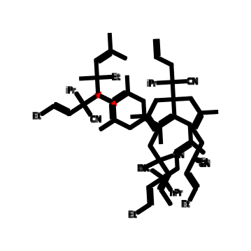 C=CCC(C#N)(C(C)C)C(CC(C)=CCC(C#N)(C=CC)CC)(CC(C)=CCC(C#N)(C=CCC)CC)C(CC(C)=CCC(C#N)(C=CCC)CCC)=C(C)C(CC(C)=CCC(C)(C=C(C)C)CC)CC(C)=CCC(C#N)(C=CCC)C(C)C